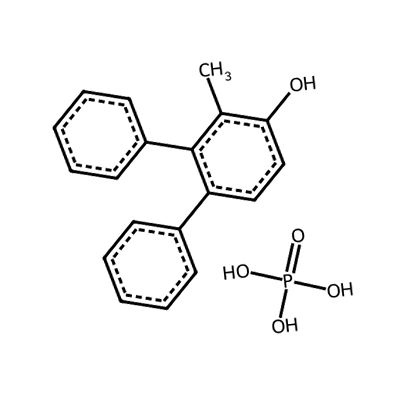 Cc1c(O)ccc(-c2ccccc2)c1-c1ccccc1.O=P(O)(O)O